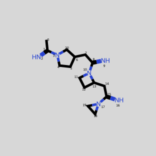 CC(=N)N1CCC(CC(=N)N2CCC2CC(=N)N2CC2)C1